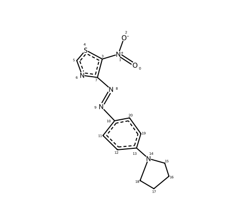 O=[N+]([O-])c1scnc1N=Nc1ccc(N2CCCC2)cc1